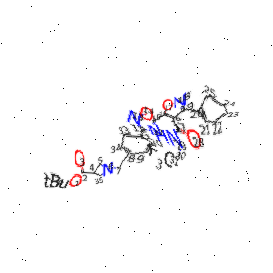 CC(C)(C)OC(=O)C1CN(Cc2ccc(-c3noc(-c4onc(-c5ccccc5)c4C(=O)NCC(F)(F)F)n3)cc2)C1